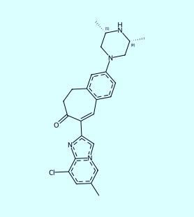 Cc1cc(Cl)c2nc(C3=Cc4ccc(N5C[C@@H](C)N[C@@H](C)C5)cc4CCC3=O)cn2c1